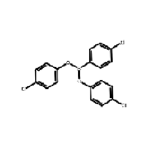 Clc1ccc(OB(Oc2ccc(Cl)cc2)c2ccc(Cl)cc2)cc1